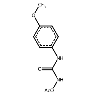 CC(=O)ONC(=O)Nc1ccc(OC(F)(F)F)cc1